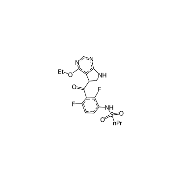 CCCS(=O)(=O)Nc1ccc(F)c(C(=O)C2CNc3ncnc(OCC)c32)c1F